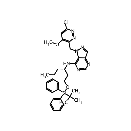 CCC[C@@H](CCO[Si](c1ccccc1)(c1ccccc1)C(C)(C)C)Nc1n[c]nc2cnn(Cc3nnc(Cl)cc3OC)c12